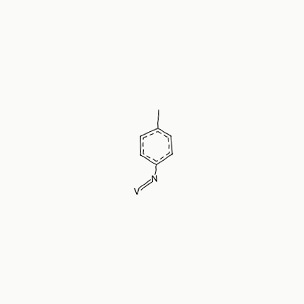 Cc1ccc([N]=[V])cc1